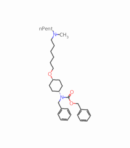 CCCCCN(C)CCCCCCO[C@H]1CC[C@H](N(Cc2ccccc2)C(=O)OCc2ccccc2)CC1